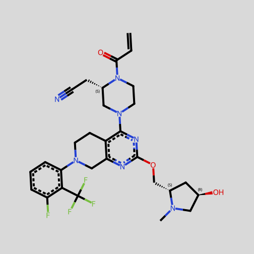 C=CC(=O)N1CCN(c2nc(OC[C@@H]3C[C@@H](O)CN3C)nc3c2CCN(c2cccc(F)c2C(F)(F)F)C3)C[C@@H]1CC#N